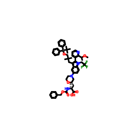 COC(C)c1ncccc1-c1c(CC(C)(C)CO[Si](c2ccccc2)(c2ccccc2)C(C)(C)C)c2cc(N3CCO[C@@H](C[C@H](NC(=O)OCc4ccccc4)C(=O)O)C3)ccc2n1CC(F)(F)F